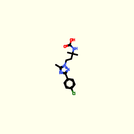 Cc1nc(-c2ccc(Cl)cc2)nn1CCC(C)(C)NC(=O)O